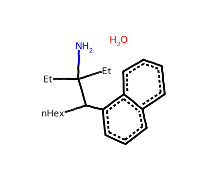 CCCCCCC(c1cccc2ccccc12)C(N)(CC)CC.O